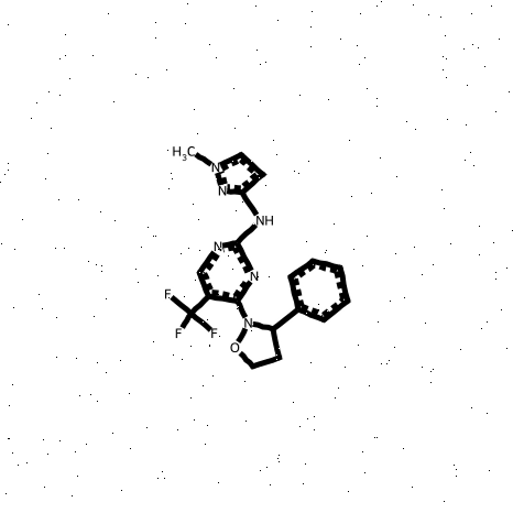 Cn1ccc(Nc2ncc(C(F)(F)F)c(N3OCCC3c3ccccc3)n2)n1